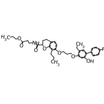 CCCOC(=O)CCNC(=O)C1CCc2ccc(OCCCOc3cc(O)c(-c4ccc(F)cc4)cc3CC)c(CCC)c2O1